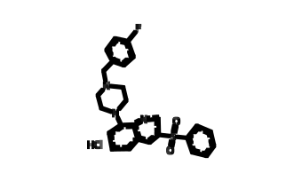 Cl.O=S(=O)(c1ccccc1)c1cnc2c(N3CCN(Cc4ccc(F)cc4)CC3)cccc2c1